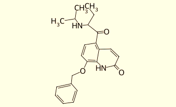 CCC(NC(C)C)C(=O)c1ccc(OCc2ccccc2)c2[nH]c(=O)ccc12